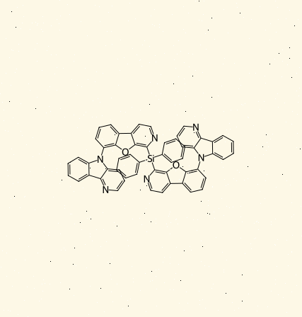 c1ccc([Si](c2ccccc2)(c2nccc3c2oc2c(-n4c5ccccc5c5ncccc54)cccc23)c2nccc3c2oc2c(-n4c5ccccc5c5ncccc54)cccc23)cc1